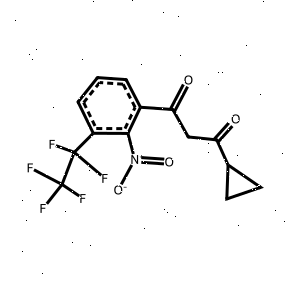 O=C(CC(=O)C1CC1)c1cccc(C(F)(F)C(F)(F)F)c1[N+](=O)[O-]